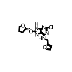 Clc1nc(NCc2ccco2)c2nc(OC[C@@H]3CCCO3)[nH]c2n1